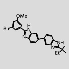 CCC(C)c1cc(OC)cc(-c2nc3ccc(-c4ccc5[nH]c(C(C)(C)CC)nc5c4)cc3[nH]2)c1